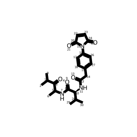 CC(C)C(=O)C(C)NC(=O)[C@@H](NC(=O)Cc1ccc(N2C(=O)C=CC2=O)cc1)C(C)C